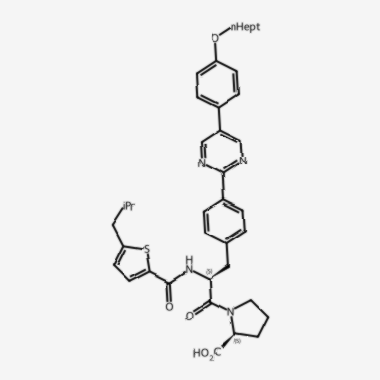 CCCCCCCOc1ccc(-c2cnc(-c3ccc(C[C@H](NC(=O)c4ccc(CC(C)C)s4)C(=O)N4CCC[C@H]4C(=O)O)cc3)nc2)cc1